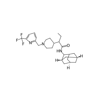 CCC(C(=O)NC1C2C[C@H]3C[C@@H](C2)C[C@@H]1C3)C1CCN(Cc2cccc(C(F)(F)F)n2)CC1